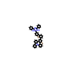 c1ccc(C2=NC(c3ccccc3)NC(c3ccc4sc5c(-c6ccc7c(c6)sc6cccc(-n8c9ccccc9c9ccccc98)c67)cccc5c4c3)N2)cc1